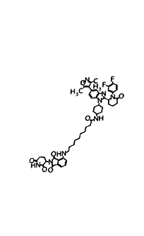 Cc1noc(C)c1-c1ccc2c(c1)nc([C@@H]1CCCC(=O)N1c1ccc(F)c(F)c1)n2C1CCC(NC(=O)CCCCCCCCCNc2cccc3c2C(=O)N(C2CCC(=O)NC2=O)C3=O)CC1